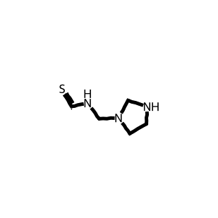 S=[C]NCN1CCNC1